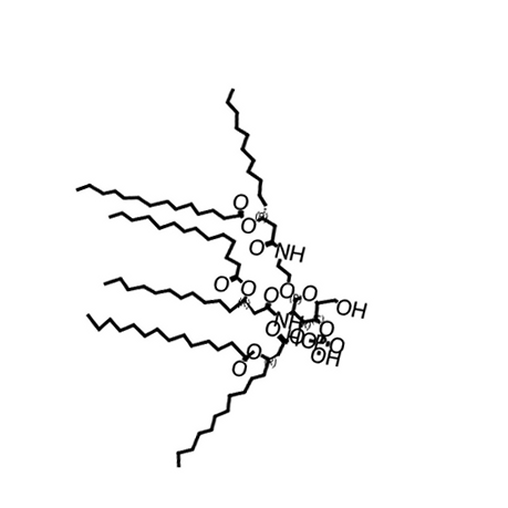 CCCCCCCCCCCCCC(=O)O[C@H](CCCCCCCCCCC)CC(=O)NCCO[C@@H]1OC(CO)[C@@H](OP(=O)(O)O)[C@H](OC(=O)C[C@@H](CCCCCCCCCCC)OC(=O)CCCCCCCCCCCCC)C1NC(=O)C[C@@H](CCCCCCCCCCC)OC(=O)CCCCCCCCCCCCC